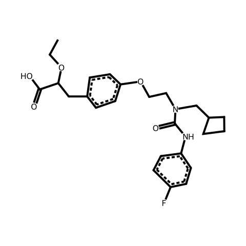 CCOC(Cc1ccc(OCCN(CC2CCC2)C(=O)Nc2ccc(F)cc2)cc1)C(=O)O